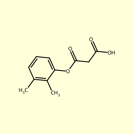 Cc1cccc(OC(=O)CC(=O)O)c1C